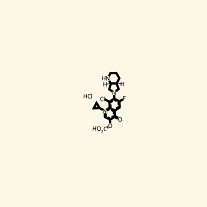 Cl.O=C(O)Oc1cn(C2CC2)c2c(Cl)c(N3C[C@@H]4CCCN[C@@H]4C3)c(F)cc2c1=O